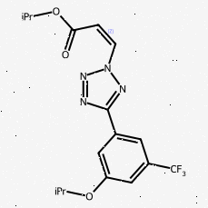 CC(C)OC(=O)/C=C\n1nnc(-c2cc(OC(C)C)cc(C(F)(F)F)c2)n1